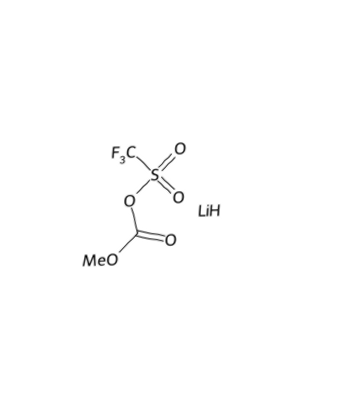 COC(=O)OS(=O)(=O)C(F)(F)F.[LiH]